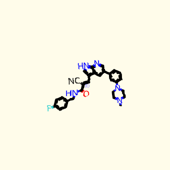 CN1CCN(c2cccc(-c3cnc4[nH]cc(/C=C(\C#N)C(=O)NCc5ccc(F)cc5)c4c3)c2)CC1